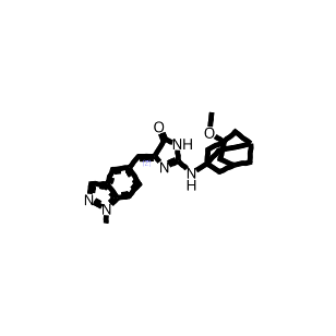 COC12CC3CC(CC(NC4=N/C(=C\c5ccc6c(cnn6C)c5)C(=O)N4)(C3)C1)C2